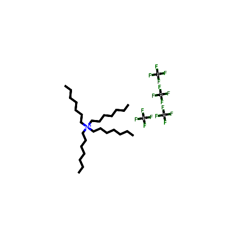 CCCCCCC[N+](CCCCCCC)(CCCCCCC)CCCCCCC.F[B-](F)(F)F.F[B-](F)(F)F.F[B-](F)(F)F.F[B-](F)(F)F